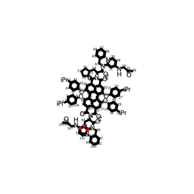 CC(C)c1ccc(Oc2cc3c4c(cc(Oc5ccc(C(C)C)cc5)c5c6c(Oc7ccc(C(C)C)cc7)cc7c8c(cc(Oc9ccc(C(C)C)cc9)c(c2c45)c86)C(=O)N(C(CC2CCCC2)C(=O)N(Cc2ccccc2)c2cc(NCC4CO4)ccn2)C7=O)C(=O)N(C(CC2CCCC2)C(=O)N(Cc2ccccc2)c2cc(NCC4CO4)ccn2)C3=O)cc1